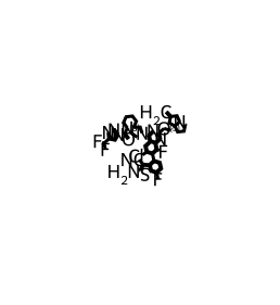 C=C1CN2CCC[C@@]2(COc2nc(N3CC[C@@]4(CCCCN4C(=O)n4cc(C(F)F)nn4)C3)c3cc(Cl)c(-c4ccc(F)c5sc(N)c(C#N)c45)c(F)c3n2)C1